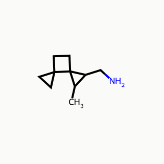 CC1C(CN)C12CCC21CC1